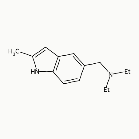 CCN(CC)Cc1ccc2[nH]c(C)cc2c1